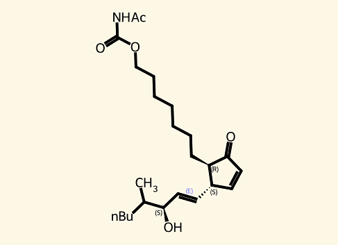 CCCCC(C)[C@H](O)/C=C/[C@H]1C=CC(=O)[C@@H]1CCCCCCCOC(=O)NC(C)=O